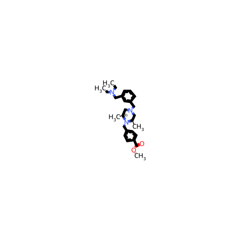 CCN(CC)Cc1cccc(CN2C[C@@H](C)N(Cc3ccc(C(=O)OC)cc3)[C@@H](C)C2)c1